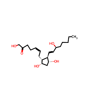 CCCCC[C@H](O)/C=C/[C@@H]1[C@@H](C/C=C\CCC(=O)CO)[C@@H](O)C[C@H]1O